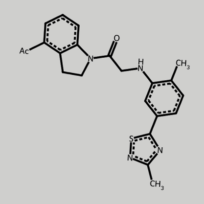 CC(=O)c1cccc2c1CCN2C(=O)CNc1cc(-c2nc(C)ns2)ccc1C